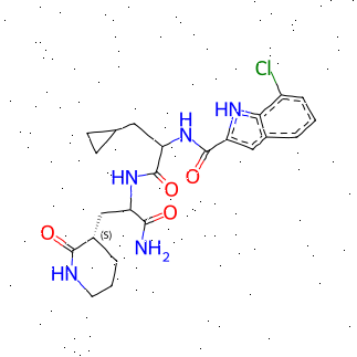 NC(=O)C(C[C@@H]1CCCNC1=O)NC(=O)C(CC1CC1)NC(=O)c1cc2cccc(Cl)c2[nH]1